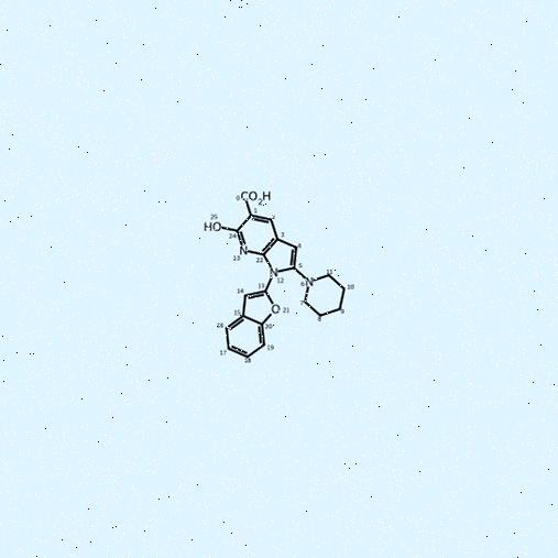 O=C(O)c1cc2cc(N3CCCCC3)n(-c3cc4ccccc4o3)c2nc1O